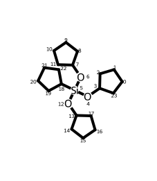 C1CCC(O[Si](OC2CCCC2)(OC2CCCC2)C2CCCC2)C1